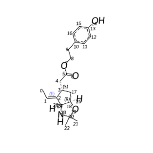 C/C=C1\[C@H](CC(=O)OCCc2ccc(O)cc2)C[C@H]2OC(C)(C)N[C@@H]12